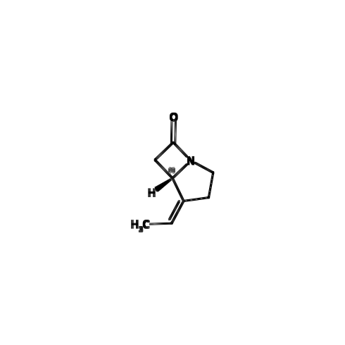 CC=C1CCN2C(=O)C[C@@H]12